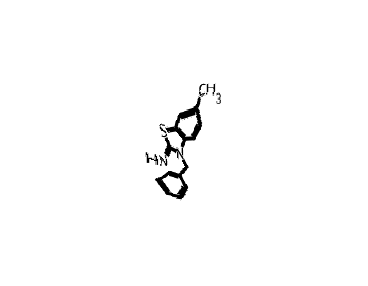 Cc1ccc2c(c1)sc(=N)n2Cc1ccccc1